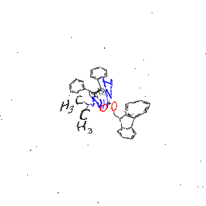 CC(C)N[C@@H](c1ccccc1)[C@@H](NC(=O)OCC1c2ccccc2-c2ccccc21)c1ccccc1